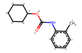 Cc1ccccc1NC(=O)OC1CCCCC1